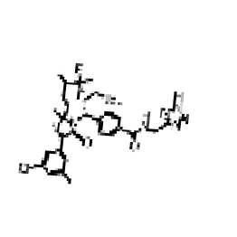 Cc1cc(Cl)cc(C2=NC(C)(CCC(C)C(C)(F)F)N([C@H](CCC(C)(C)C)c3ccc(C(=O)NCc4nn[nH]n4)cc3)C2=O)c1